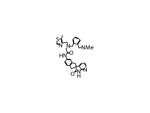 CNCc1ccccc1CN(CC(=O)Nc1ccc2c(c1)CC1(C2)C(=O)Nc2ncccc21)Cc1ncsc1C